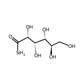 O=C([SiH3])[C@H](O)[C@@H](O)[C@H](O)[C@H](O)CO